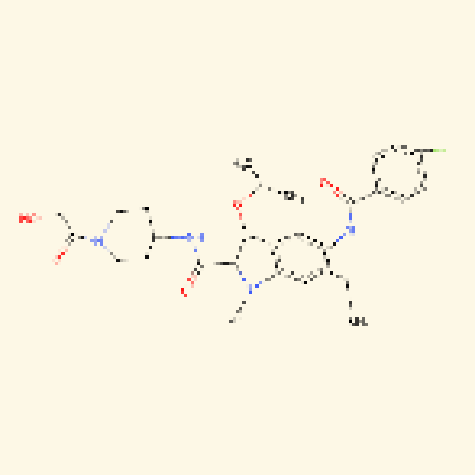 CCc1cc2c(cc1NC(=O)c1ccc(F)cc1)C(OC(C)C)C(C(=O)NC1CCN(C(=O)CO)CC1)N2C